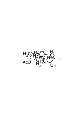 CC(=O)OC1CC(C)(C)N(Cc2ccc(CN3C(C)(C)CC(O)CC3(C)C)cc2)C(C)(C)C1